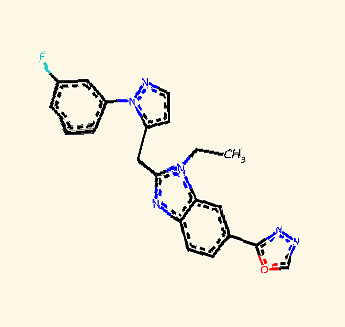 CCn1c(Cc2ccnn2-c2cccc(F)c2)nc2ccc(-c3nnco3)cc21